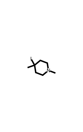 CN1CCC(C)(I)CC1